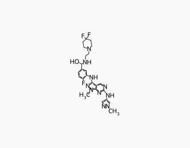 Cn1cc(Nc2ncc3c(Nc4cc(C(O)NCCN5CCC(F)(F)CC5)ccc4F)nn(C)c3n2)cn1